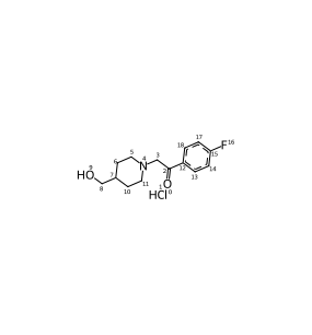 Cl.O=C(CN1CCC(CO)CC1)c1ccc(F)cc1